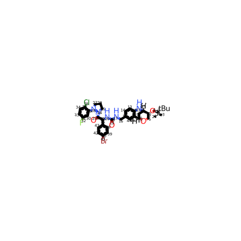 CC(C)(C)[Si](C)(C)O[C@@H]1CO[C@@H]2C[C@H]1Nc1ccc(CNC(=O)N[C@H](C(=O)N3CCCN3c3cc(F)ccc3Cl)c3ccc(Br)cc3)cc12